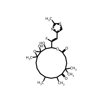 Cc1nc(C=C(F)C2OC(=O)CCC(C)(C)C(=O)C(C)CC(C)CCCC3(C)OC3(O)C2O)cs1